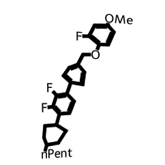 CCCCCC1CCC(c2ccc(-c3ccc(COc4ccc(OC)cc4F)cc3)c(F)c2F)CC1